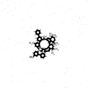 Cc1cc2c3c(c1)N(c1ccc(C(C)(C)C)cc1-c1ccccc1)c1oc4cc5c(cc4c1B3)C(C)(CCC5(C)C)c1cc(cc3c1C(C)(C)CCC3(C)C)C(C)c1cc(-c3ccccc3)ccc1-2